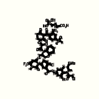 CC(C)OC(=O)c1cc(-n2c(=O)cc(C(F)(F)F)n(C)c2=O)ccc1Cl.CC1COc2ccccc2N1C(=O)C(Cl)Cl.CCc1cccc(C)c1N(C(=O)CCl)C(C)COC.CS(=O)(=O)c1ccc(C(=O)C2C(=O)CCCC2=O)c([N+](=O)[O-])c1.O=C(O)CNCP(=O)(O)O